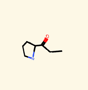 CCC(=O)C1CCC[N]1